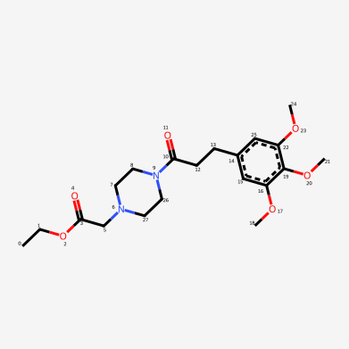 CCOC(=O)CN1CCN(C(=O)CCc2cc(OC)c(OC)c(OC)c2)CC1